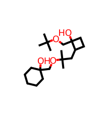 CC(C)(C)OCC1(O)CCC1CC(C)(C)OCC1(O)CCCCC1